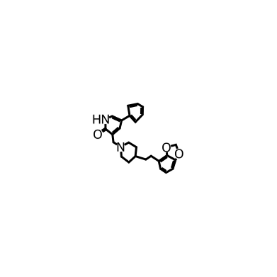 O=c1[nH]cc(-c2ccccc2)cc1CN1CCC(CCc2cccc3c2OCO3)CC1